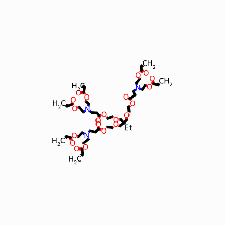 C=CC(=O)OCCN(CCOC(=O)C=C)CCC(=O)OCCOCC(CC)(COCCOC(=O)CCN(CCOC(=O)C=C)CCOC(=O)C=C)COCCOC(=O)CCN(CCOC(=O)C=C)CCOC(=O)C=C